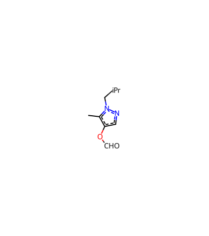 Cc1c(OC=O)cnn1CC(C)C